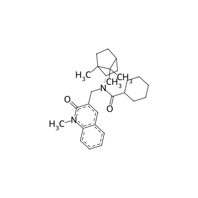 Cn1c(=O)c(CN(C(=O)C2CCCCC2)[C@H]2CC3CCC2(C)C3(C)C)cc2ccccc21